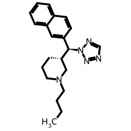 CCCCN1CCC[C@H]([C@@H](c2ccc3ccccc3c2)n2ncnn2)C1